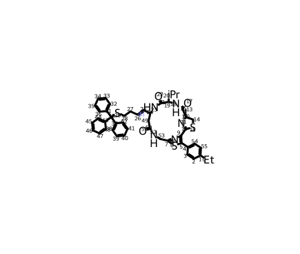 CCc1ccc(-c2sc3nc2C2=N[C@@](C)(CS2)C(=O)NC(C(C)C)C(=O)NC(/C=C/CCSC(c2ccccc2)(c2ccccc2)c2ccccc2)CC(=O)NC3)cc1